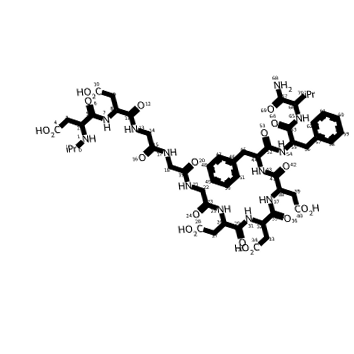 CC(C)NC(CC(=O)O)C(=O)NC(CC(=O)O)C(=O)NCC(=O)NCC(=O)NCC(=O)NC(CC(=O)O)C(=O)NC(CC(=O)O)C(=O)NC(CC(=O)O)C(=O)NC(Cc1ccccc1)C(=O)NC(Cc1ccccc1)C(=O)NC(C(N)=O)C(C)C